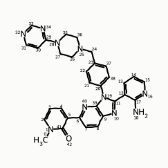 Cn1cccc(-c2ccc3nc(-c4cccnc4N)n(-c4ccc(CN5CCN(c6ccncn6)CC5)cc4)c3n2)c1=O